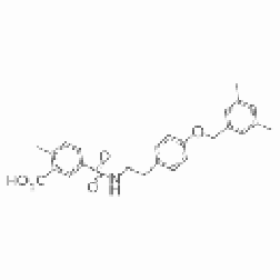 Cc1cc(C)cc(COc2ccc(CCNS(=O)(=O)c3ccc(C)c(C(=O)O)c3)cc2)c1